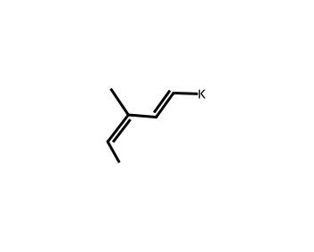 CC=C(C)C=[CH][K]